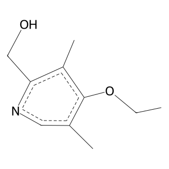 CCOc1c(C)cnc(CO)c1C